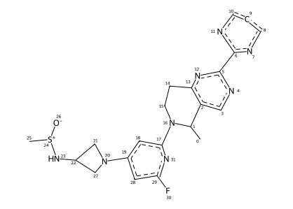 CC1c2cnc(-c3ncccn3)nc2CCN1c1cc(N2CC(N[S+](C)[O-])C2)cc(F)n1